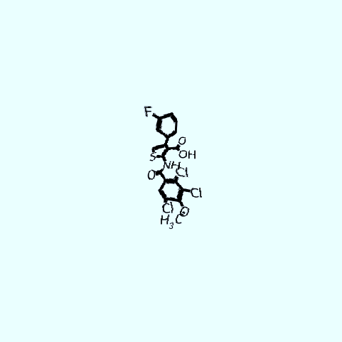 COc1c(Cl)cc(C(=O)Nc2scc(-c3cccc(F)c3)c2C(=O)O)c(Cl)c1Cl